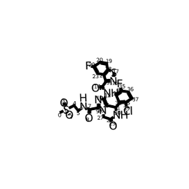 CS(=O)(=O)CCNC(=O)c1nc(NC(=O)c2nsc3ccc(F)cc23)c2n1CC(=O)NC2c1cc(F)ccc1Cl